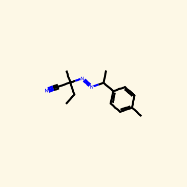 CCC(C)(C#N)N=NC(C)c1ccc(C)cc1